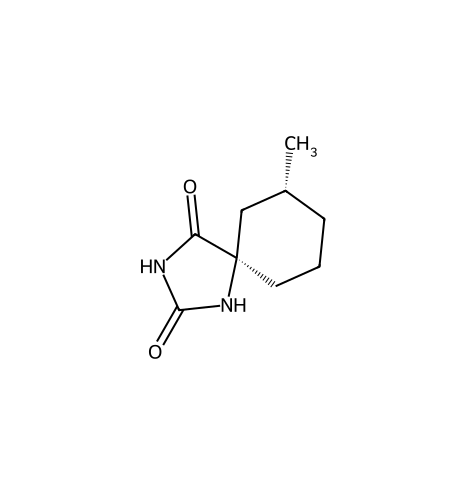 C[C@@H]1CCC[C@]2(C1)NC(=O)NC2=O